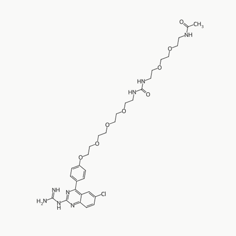 CC(=O)NCCOCCOCCNC(=O)NCCOCCOCCOCCOc1ccc(-c2nc(NC(=N)N)nc3ccc(Cl)cc23)cc1